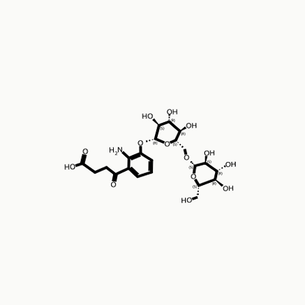 Nc1c(O[C@H]2O[C@@H](CO[C@H]3O[C@@H](CO)[C@H](O)[C@@H](O)[C@@H]3O)[C@H](O)[C@@H](O)[C@@H]2O)cccc1C(=O)CCC(=O)O